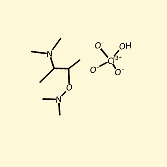 CC(ON(C)C)C(C)N(C)C.[O-][Cl+3]([O-])([O-])O